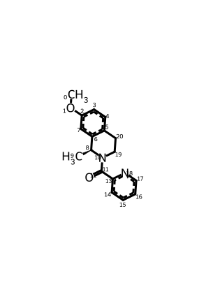 COc1ccc2c(c1)[C@H](C)N(C(=O)c1ccccn1)CC2